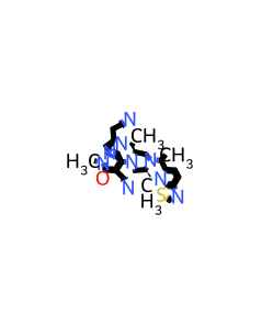 CC[C@H]1CN(C(C)c2ccc3ncsc3n2)[C@H](CC)CN1c1c(C#N)c(=O)n(C)n2cc(CC#N)nc12